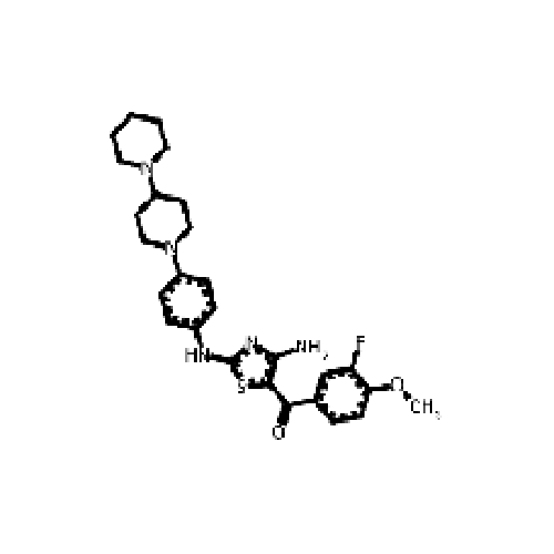 COc1ccc(C(=O)c2sc(Nc3ccc(N4CCC(N5CCCCC5)CC4)cc3)nc2N)cc1F